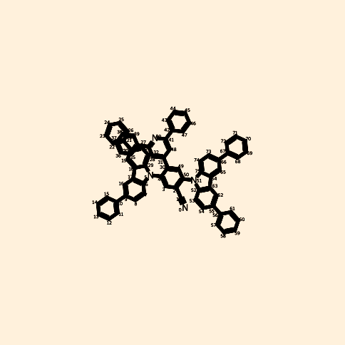 N#Cc1cc(-n2c3ccc(-c4ccccc4)cc3c3cc(-c4ccccc4)ccc32)c(-c2cc(-c3ccccc3)nc(-c3ccccc3)c2)cc1-n1c2ccc(-c3ccccc3)cc2c2cc(-c3ccccc3)ccc21